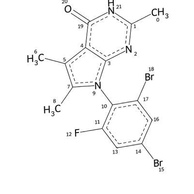 Cc1nc2c(c(C)c(C)n2-c2c(F)cc(Br)cc2Br)c(=O)[nH]1